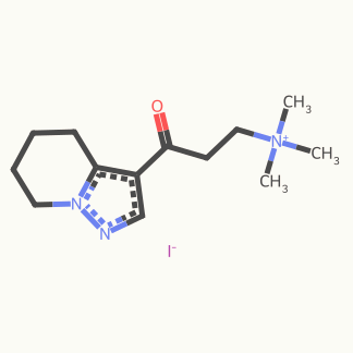 C[N+](C)(C)CCC(=O)c1cnn2c1CCCC2.[I-]